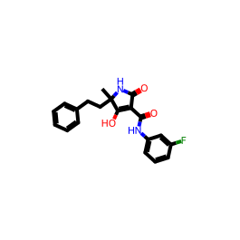 CC1(CCc2ccccc2)NC(=O)C(C(=O)Nc2cccc(F)c2)=C1O